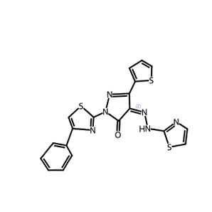 O=C1/C(=N\Nc2nccs2)C(c2cccs2)=NN1c1nc(-c2ccccc2)cs1